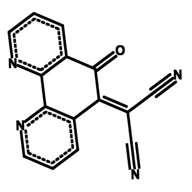 N#CC(C#N)=C1C(=O)c2cccnc2-c2ncccc21